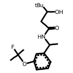 CC(NC(=O)CC(O)C(C)(C)C)c1cccc(OC(C)(C)F)c1